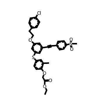 CCOC(=O)COc1ccc(Sc2cc(C#Cc3ccc(S(C)(=O)=O)cc3)cc(OCCc3ccc(Cl)cc3)c2)cc1C